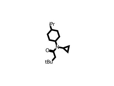 CC(C)C1CCC(N(C(=O)CC(C)(C)C)C2CC2)CC1